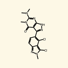 CN(C)c1nc2[nH]nc(-c3ccc4nn(C)c(Cl)c4c3Cl)c2c(=O)n1C